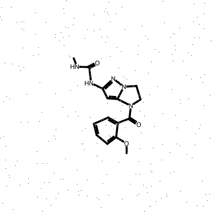 CNC(=O)Nc1cc2n(n1)CCN2C(=O)c1ccccc1OC